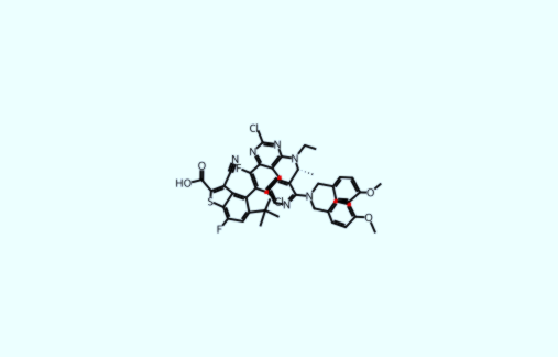 CCN(c1nc(Cl)nc2c(F)c(-c3c(C(C)(C)C)cc(F)c4sc(C(=O)O)c(C#N)c34)c(Cl)cc12)[C@H](C)c1cccnc1N(Cc1ccc(OC)cc1)Cc1ccc(OC)cc1